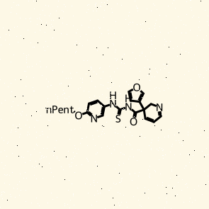 CCCCCOc1ccc(NC(=S)NC(=O)C2(c3ccoc3)C=CC=NC2)cn1